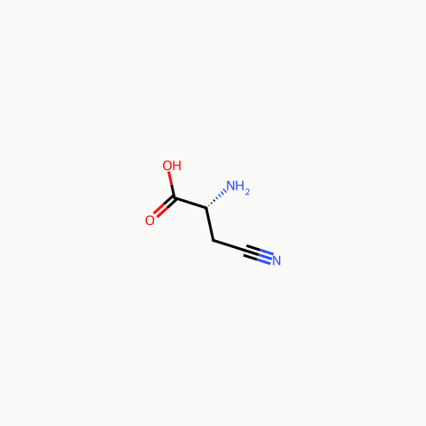 N#CC[C@@H](N)C(=O)O